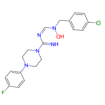 N=C(/N=C\N(O)Cc1ccc(Cl)cc1)N1CCN(c2ccc(F)cc2)CC1